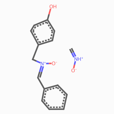 C=[NH+][O-].[O-][N+](=Cc1ccccc1)Cc1ccc(O)cc1